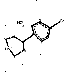 Brc1ccc(C2CCNCC2)cc1.Cl